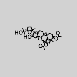 CC(=O)O[C@H]1CC2C3(CC[C@]4(C)[C@@H]([C@@]5(C)CC[C@@H](C(C)(C)O)O5)[C@@H](O)C[C@@]24C)CC32CC[C@H](OC(C)=O)C(C)(C)[C@H]12